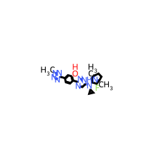 Cn1nnc(-c2ccc(-c3ncc(N(C4CC4)[C@H]4C[C@]5(C)CC[C@@](C)(N5)[C@H]4F)nn3)c(O)c2)n1